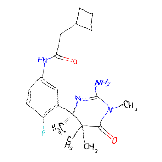 CN1C(=O)C(C)(C)[C@@](C)(c2cc(NC(=O)CC3CCC3)ccc2F)N=C1N